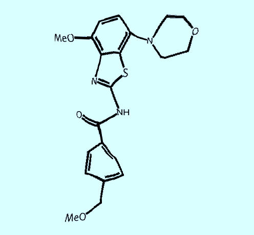 COCc1ccc(C(=O)Nc2nc3c(OC)ccc(N4CCOCC4)c3s2)cc1